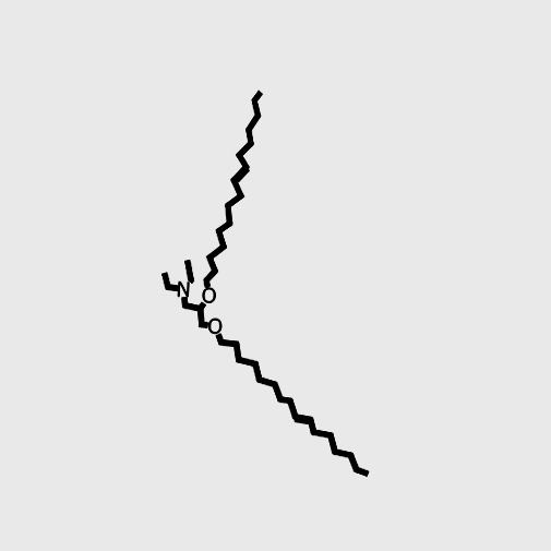 CCCCCCC=CCCCCCCCCOCC(CN(CC)CC)OCCCCCCCCC=CCCCCCC